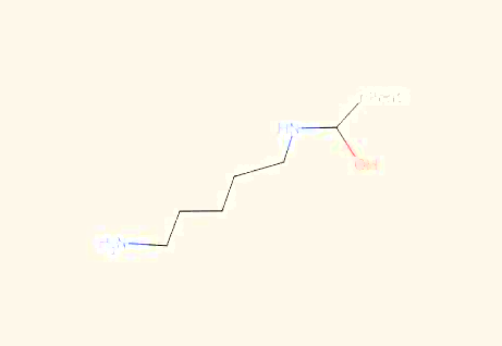 CCCCCC(O)NCCCCCN